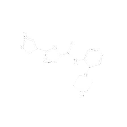 O=C(Nc1ccccc1N1CCNCC1)c1csc(-c2cn[nH]c2)n1